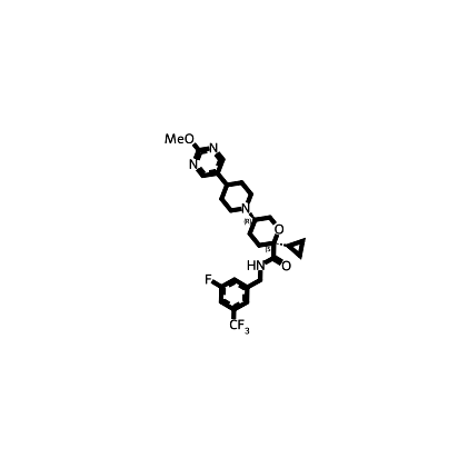 COc1ncc(C2CCN([C@@H]3CC[C@@](C(=O)NCc4cc(F)cc(C(F)(F)F)c4)(C4CC4)OC3)CC2)cn1